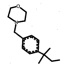 CCC(C)(C)c1ccc(CN2CCOCC2)cc1